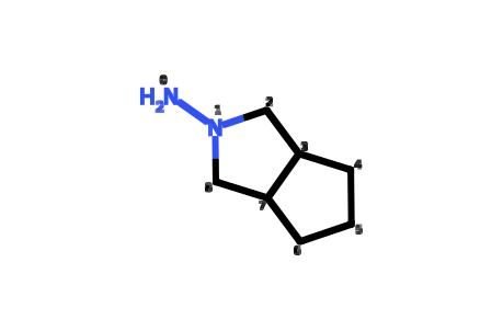 NN1CC2CCCC2C1